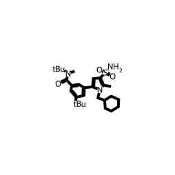 Cc1c(S(N)(=O)=O)cc(-c2cc(C(=O)N(C)C(C)(C)C)cc(C(C)(C)C)c2)n1CC1CCCCC1